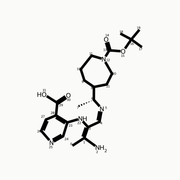 C/C(N)=C(/C=N\[C@H](C)C1CCCN(C(=O)OC(C)(C)C)CC1)Nc1cnccc1C(=O)O